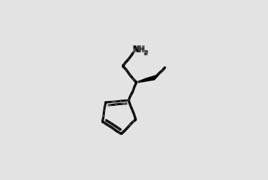 CC[C@H](CN)C1=CC=CC1